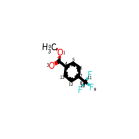 COC(=O)c1ccc(C(F)(F)F)cc1